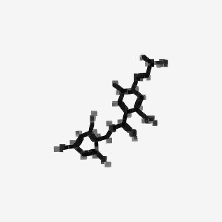 CCN(C)/C=N/c1cc(C(F)(F)F)c(C(=O)OCc2c(F)cc(F)cc2F)cc1C